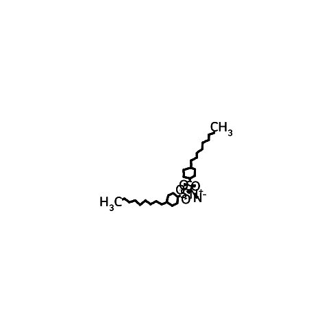 CCCCCCCCCC1CCC(S(=O)(=O)C(=[N+]=[N-])S(=O)(=O)C2CCC(CCCCCCCCC)CC2)CC1